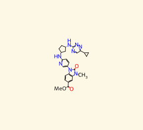 COC(=O)c1ccc2c(c1)n(C)c(=O)n2-c1ccc(N[C@H]2CC[C@H](Nc3ncc(C4CC4)nn3)C2)nc1